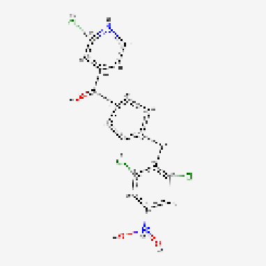 O=C(c1ccc(Cc2c(Cl)cc([N+](=O)[O-])cc2Cl)cc1)c1ccnc(Cl)c1